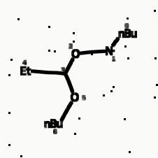 CCCC[N]OC(CC)OCCCC